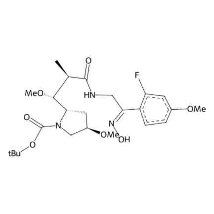 COc1ccc(/C(CNC(=O)[C@H](C)[C@@H](OC)[C@@H]2C[C@@H](OC)CN2C(=O)OC(C)(C)C)=N\O)c(F)c1